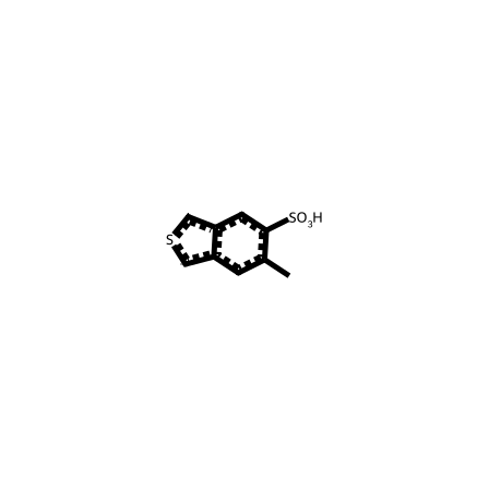 Cc1cc2[c]s[c]c2cc1S(=O)(=O)O